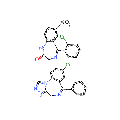 Clc1ccc2c(c1)C(c1ccccc1)=NCc1nncn1-2.O=C1CN=C(c2ccccc2Cl)c2cc([N+](=O)[O-])ccc2N1